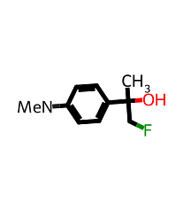 CNc1ccc(C(C)(O)CF)cc1